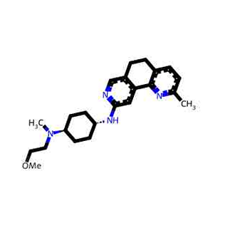 COCCN(C)[C@H]1CC[C@H](Nc2cc3c(cn2)CCc2ccc(C)nc2-3)CC1